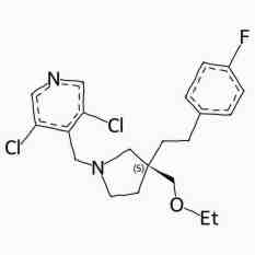 CCOC[C@@]1(CCc2ccc(F)cc2)CCN(Cc2c(Cl)cncc2Cl)C1